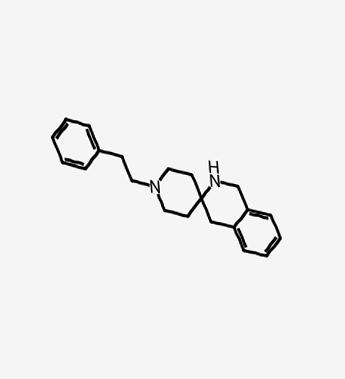 c1ccc(CCN2CCC3(CC2)Cc2ccccc2CN3)cc1